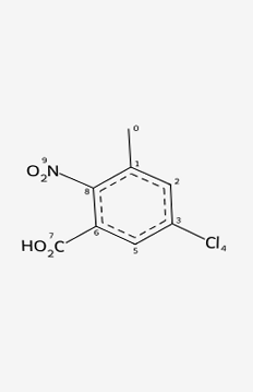 Cc1cc(Cl)cc(C(=O)O)c1[N+](=O)[O-]